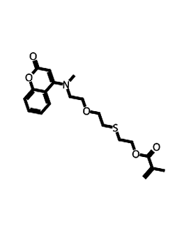 C=C(C)C(=O)OCCSCCOCCN(C)c1cc(=O)oc2ccccc12